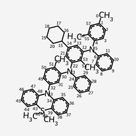 Cc1ccc(N(c2ccccc2)c2cc(C3CCCCC3)cc(N(c3ccccc3)c3cc(N4c5ccccc5S(C)(C)c5ccccc54)ccc3C)c2C)c(C)c1